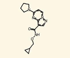 O=C(NOCC1CC1)c1cnn2ccc(N3CCCC3)nc12